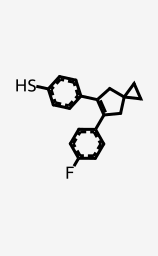 Fc1ccc(C2=C(c3ccc(S)cc3)CC3(CC3)C2)cc1